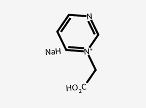 O=C(O)C[n+]1cccnc1.[NaH]